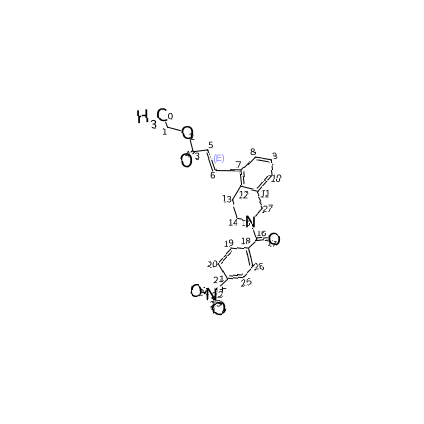 CCOC(=O)/C=C/c1cccc2c1CCN(C(=O)c1ccc([N+](=O)[O-])cc1)C2